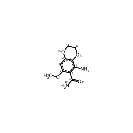 COc1cc2c(c(N)c1C(N)=O)OCCO2